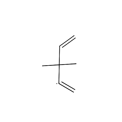 C=[C]C(C)(C)C=C